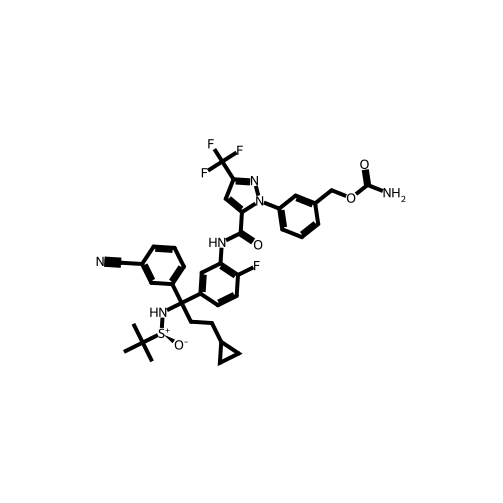 CC(C)(C)[S@+]([O-])NC(CCC1CC1)(c1cccc(C#N)c1)c1ccc(F)c(NC(=O)c2cc(C(F)(F)F)nn2-c2cccc(COC(N)=O)c2)c1